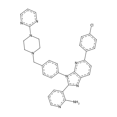 Nc1ncccc1-c1nc2ccc(-c3ccc(Cl)cc3)nc2n1-c1ccc(CN2CCN(c3ncccn3)CC2)cc1